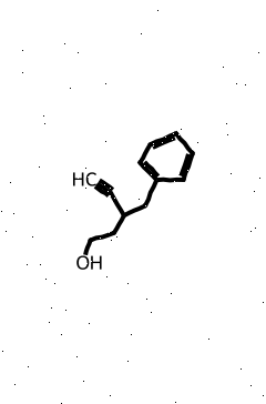 C#CC(CCO)Cc1ccccc1